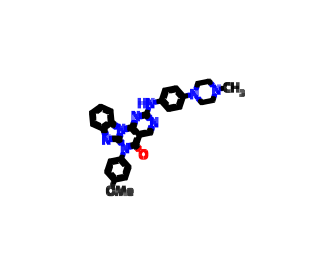 COc1ccc(-n2c(=O)c3cnc(Nc4ccc(N5CCN(C)CC5)cc4)nc3n3c4ccccc4nc23)cc1